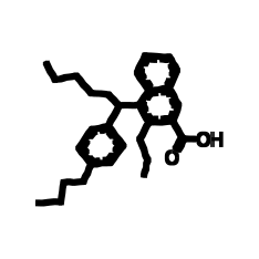 CCCCCC(c1ccc(CCCC)cc1)c1c(CCC)c(C(=O)O)cc2ccccc12